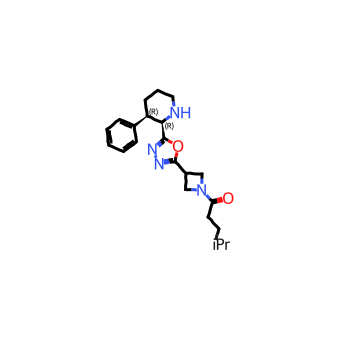 CC(C)CCC(=O)N1CC(c2nnc([C@@H]3NCCC[C@@H]3c3ccccc3)o2)C1